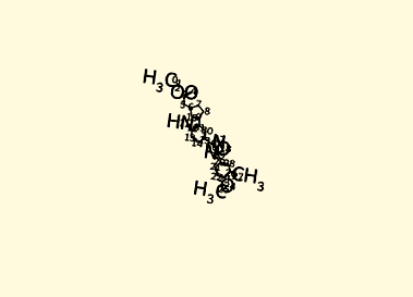 CCOC(=O)CC1CCc2c1[nH]c1ccc(-c3noc(-c4ccc(OC)c(C)c4)n3)cc21